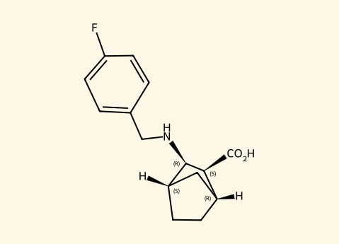 O=C(O)[C@H]1[C@@H]2CC[C@@H](C2)[C@H]1NCc1ccc(F)cc1